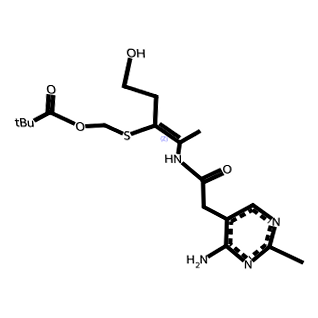 C/C(NC(=O)Cc1cnc(C)nc1N)=C(\CCO)SCOC(=O)C(C)(C)C